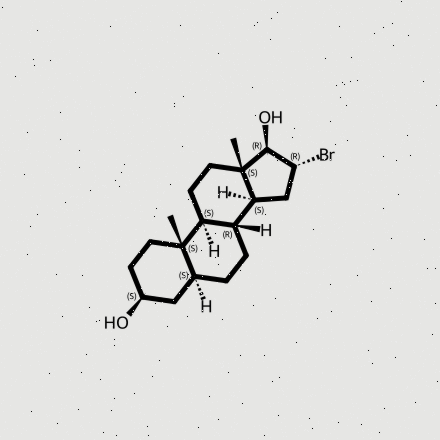 C[C@]12CC[C@H](O)C[C@@H]1CC[C@@H]1[C@@H]2CC[C@]2(C)[C@@H](O)[C@H](Br)C[C@@H]12